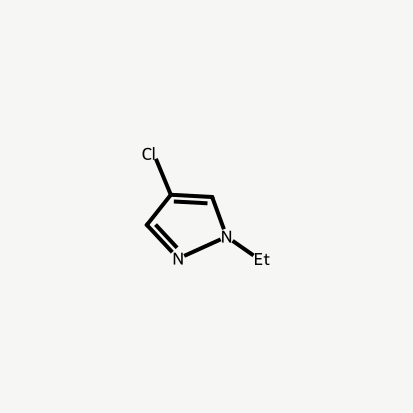 CCn1cc(Cl)cn1